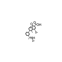 Cc1c(-c2cccc(C(C)NC3CC3)c2)ccn2c(=O)c(C(=O)O)cc(C3CC3)c12